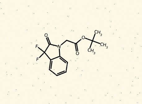 CC(C)(C)OC(=O)CN1C(=O)C(F)(F)c2ccccc21